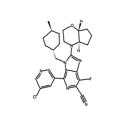 C[C@H]1CC[C@H](Cn2c(N3CCO[C@@H]4CCC[C@H]43)nc3c(F)c(C#N)nc(-c4cncc(Cl)c4)c32)CC1